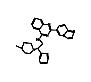 CN1CCN(C(CNc2nc(-c3ccc4nccn4c3)nc3ccccc23)c2ccccc2)CC1